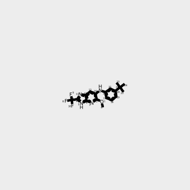 COc1nc2[nH]c(C(F)(F)F)nc2cc1Nc1cccc(C(C)(C)C)c1